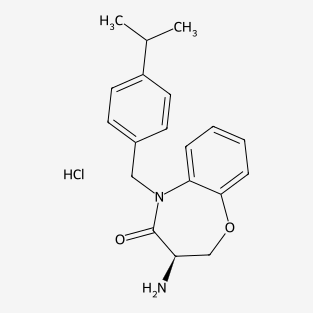 CC(C)c1ccc(CN2C(=O)[C@H](N)COc3ccccc32)cc1.Cl